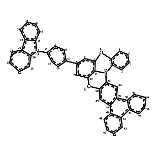 c1ccc2c(c1)Oc1cc(-c3ccc(-n4c5ccccc5c5ccccc54)cc3)cc3c1B2c1cc2c4ccccc4c4ccccc4c2cc1O3